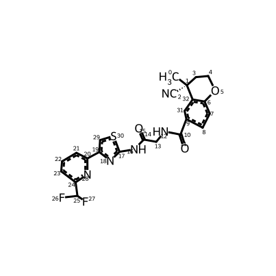 C[C@@]1(C#N)CCOc2ccc(C(=O)NCC(=O)Nc3nc(-c4cccc(C(F)F)n4)cs3)cc21